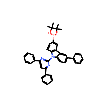 CC1(C)OB(c2ccc3c(c2)c2cc(-c4ccccc4)ccc2n3-c2nc(-c3ccccc3)cc(-c3ccccc3)n2)OC1(C)C